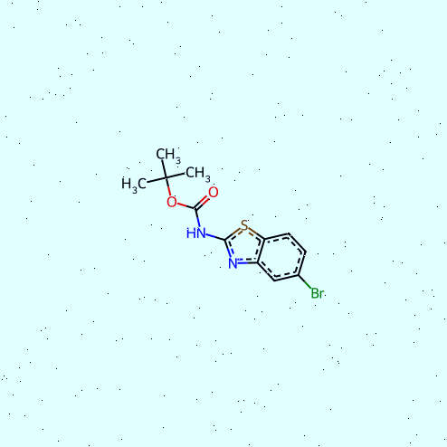 CC(C)(C)OC(=O)Nc1nc2cc(Br)ccc2s1